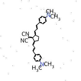 [C-]#[N+]C(C#N)=C1C(=CC=Cc2ccc(N(C)C)cc2)CCC1=CC=Cc1ccc(N(C)C)cc1